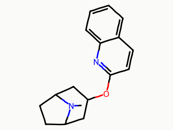 CN1C2CCC1CC(Oc1ccc3ccccc3n1)C2